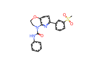 CS(=O)(=O)c1cccc(-c2ccc3c(n2)N(C(=O)Nc2ccccc2)CCO3)c1